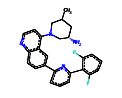 CC1C[C@H](N)CN(c2ccnc3ccc(-c4cccc(-c5c(F)cccc5F)n4)cc23)C1